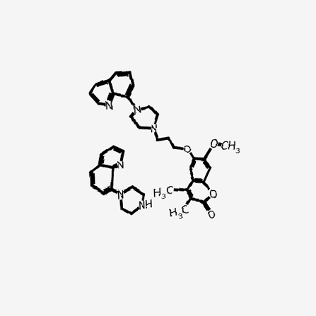 COc1cc2oc(=O)c(C)c(C)c2cc1OCCCN1CCN(c2cccc3cccnc23)CC1.c1cnc2c(N3CCNCC3)cccc2c1